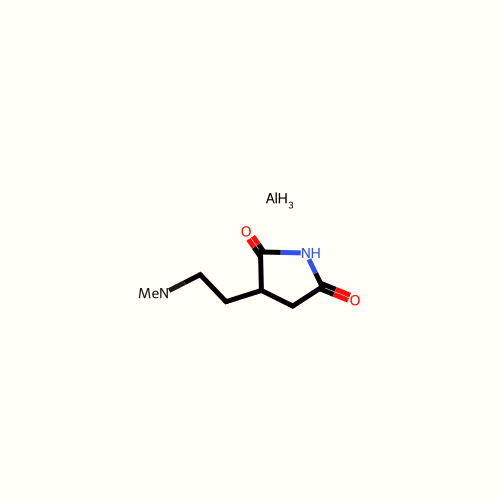 CNCCC1CC(=O)NC1=O.[AlH3]